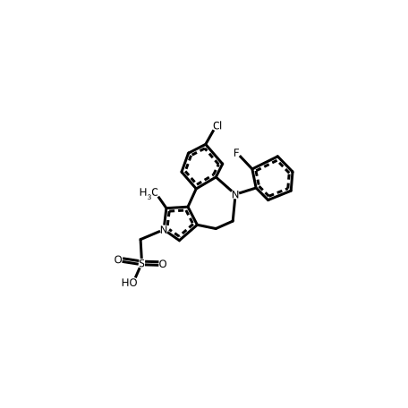 Cc1c2c(cn1CS(=O)(=O)O)CCN(c1ccccc1F)c1cc(Cl)ccc1-2